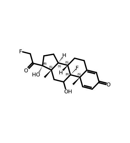 C[C@]12C=CC(=O)C=C1CC[C@H]1[C@@H]3CC[C@](O)(C(=O)CF)[C@@]3(C)CC(O)[C@@]12F